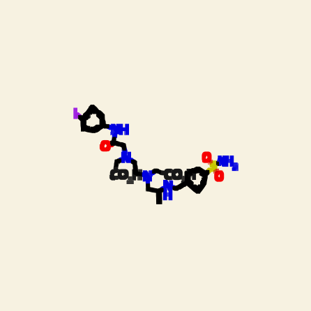 C=C(CN(CCN(CC(=O)O)CC(=O)Nc1ccc(I)cc1)CC(=O)O)NCc1ccc(S(N)(=O)=O)cc1